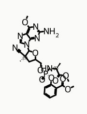 COC(=O)c1ccccc1OP(=O)(N[C@@H](C)C(=O)OC)OCC1C[C@@](C)(C#N)C(n2cnc3c(OC)nc(N)nc32)O1